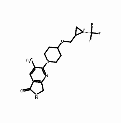 Cc1cc2c(nc1N1CCC(OCC3C[C@@H]3C(F)(F)F)CC1)CNC2=O